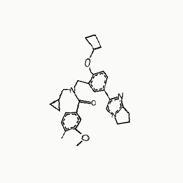 COc1cc(C(=O)N(Cc2cc(-c3cn4c(n3)CCC4)ccc2OC2CCC2)CC2CC2)ccc1C